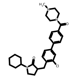 CN1CCN(C(=O)c2ccc(-c3ccc(CC4CCN(C5CCCCC5)C4=O)c(Cl)c3)cc2)CC1